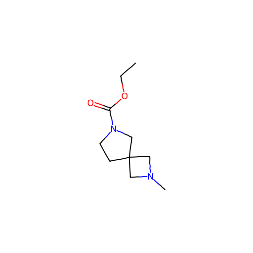 CCOC(=O)N1CCC2(CN(C)C2)C1